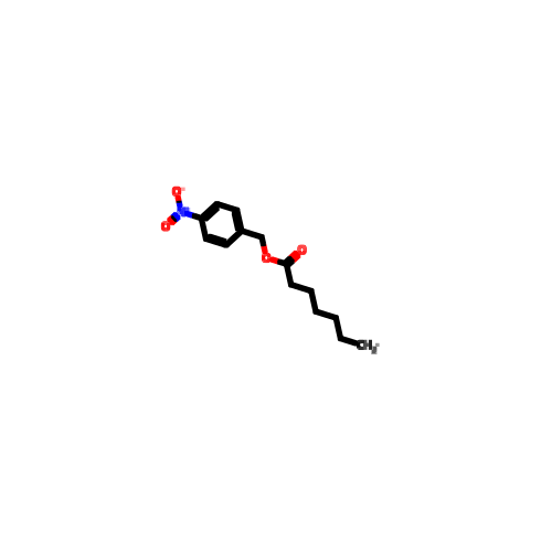 [CH2]CCCCCC(=O)OCc1ccc([N+](=O)[O-])cc1